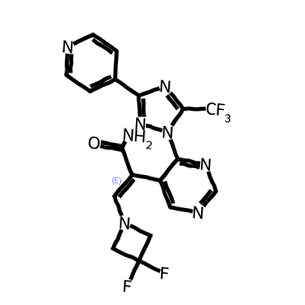 NC(=O)/C(=C/N1CC(F)(F)C1)c1cncnc1-n1nc(-c2ccncc2)nc1C(F)(F)F